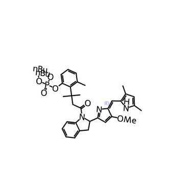 CCCCOP(=O)(OCCCC)Oc1cccc(C)c1C(C)(C)CC(=O)N1c2ccccc2CC1C1=N/C(=C/c2[nH]c(C)cc2C)C(OC)=C1